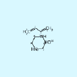 C1CNCCN1.C=CC=C.Cl